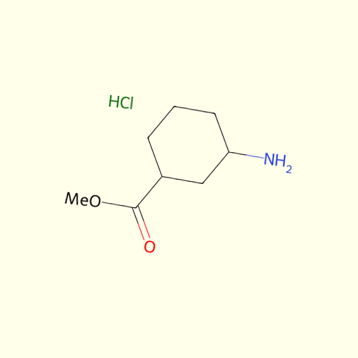 COC(=O)C1CCCC(N)C1.Cl